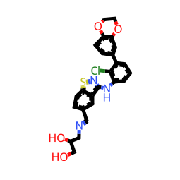 OCC(O)CN=Cc1ccc2snc(Nc3cccc(-c4ccc5c(c4)OCCO5)c3Cl)c2c1